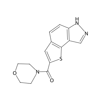 O=C(c1cc2ccc3[nH]ncc3c2s1)N1CCOCC1